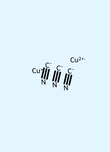 [C-]#N.[C-]#N.[C-]#N.[Cu+2].[Cu+]